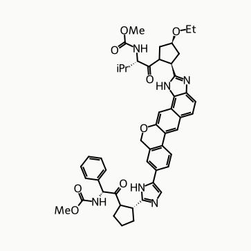 CCO[C@@H]1CC(C(=O)[C@@H](NC(=O)OC)C(C)C)[C@H](c2nc3ccc4cc5c(cc4c3[nH]2)OCc2cc(-c3cnc([C@@H]4CCCC4C(=O)[C@H](NC(=O)OC)c4ccccc4)[nH]3)ccc2-5)C1